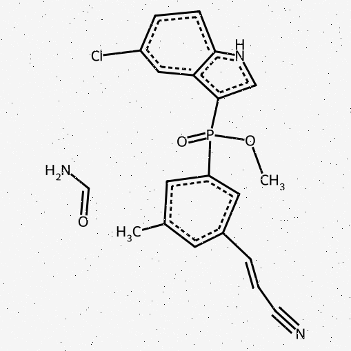 COP(=O)(c1cc(C)cc(C=CC#N)c1)c1c[nH]c2ccc(Cl)cc12.NC=O